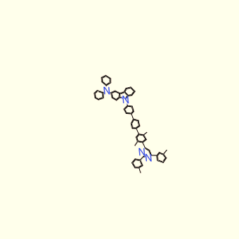 Cc1cccc(-c2cc(-c3cc(C)c(-c4ccc(-c5ccc(-n6c7ccccc7c7cc(N(c8ccccc8)c8ccccc8)ccc76)cc5)cc4)cc3C)nc(-c3cccc(C)c3)n2)c1